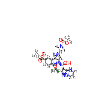 CC(C)(C)OC(=O)N1CC(n2cc(NC(O)c3cnn4cccnc34)c(-c3cc(S(=O)(=O)C4CC4)ccc3OC(F)F)n2)C1